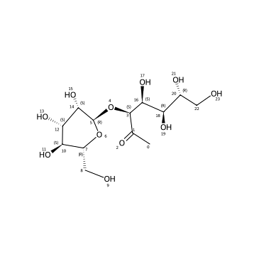 CC(=O)[C@@H](O[C@H]1O[C@H](CO)[C@@H](O)[C@H](O)[C@@H]1O)[C@@H](O)[C@H](O)[C@H](O)CO